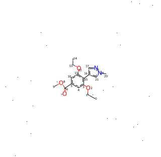 CCOc1cc(C(=O)OC)cc(OCC)c1-c1cnn(C)c1